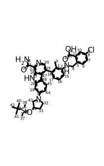 Cc1c(NCc2ccc(Cl)cc2C(=O)O)cccc1-c1cnc(C(N)=O)c2[nH]c3cc(N4CCC(O[Si](C)(C)C(C)(C)C)C4)ccc3c12